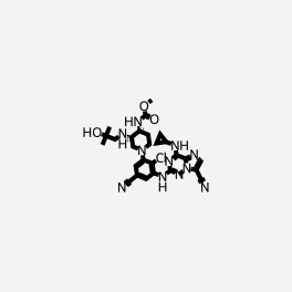 COC(=O)N[C@H]1CCN(c2cc(C#N)cc(Nc3nc(NC4CC4)c4ncc(C#N)n4n3)c2Cl)C[C@@H]1NCC(C)(C)O